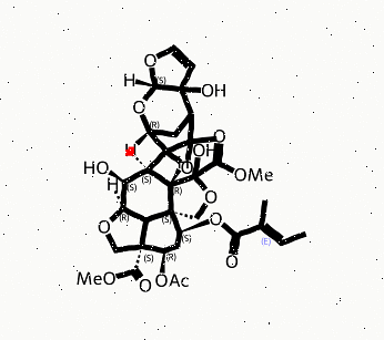 C/C=C(\C)C(=O)O[C@H]1C[C@@H](OC(C)=O)[C@@]2(C(=O)OC)CO[C@@H]3C2[C@]12COC(O)(C(=O)OC)[C@H]2[C@](C)(C12OC1(C)C1C[C@H]2O[C@@H]2OC=CC12O)[C@@H]3O